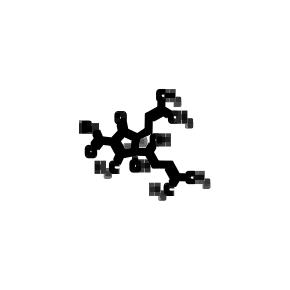 CCC(C)C(=O)C1=C(C)[C@](O)(C(O)CC=C(C)C)[C@H](CC=C(C)C)C1=O